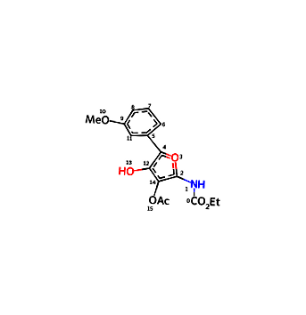 CCOC(=O)Nc1oc(-c2cccc(OC)c2)c(O)c1OC(C)=O